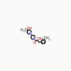 Cc1cccc(C[C@@H](O)C(=O)N2CCC(N3CCC(C)(O)CC3)CC2)c1